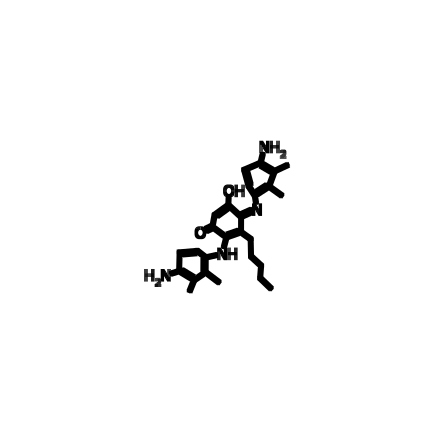 CCCCCC1=C(Nc2ccc(N)c(C)c2C)C(=O)C=C(O)/C1=N\c1ccc(N)c(C)c1C